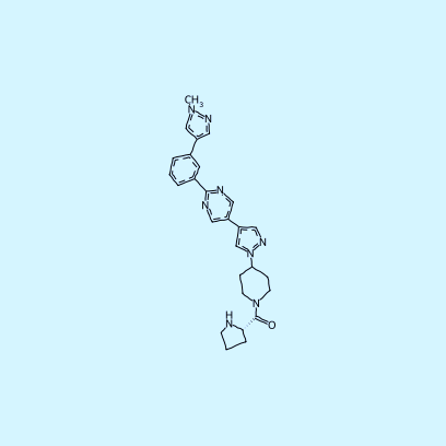 Cn1cc(-c2cccc(-c3ncc(-c4cnn(C5CCN(C(=O)[C@@H]6CCCN6)CC5)c4)cn3)c2)cn1